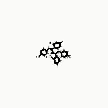 O=C(C(Cc1ccc(Cl)cc1)c1ccc(F)cc1O)C(Cc1ccc(Cl)cc1)c1ccc(F)cc1O